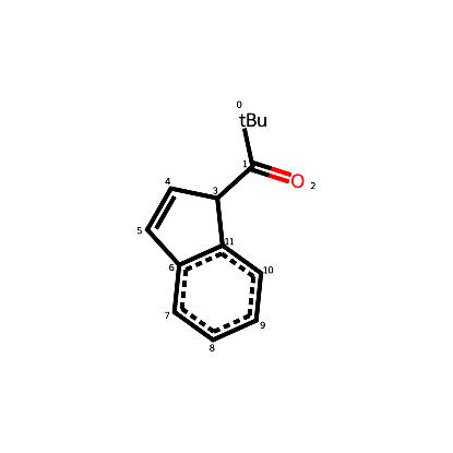 CC(C)(C)C(=O)C1C=Cc2ccccc21